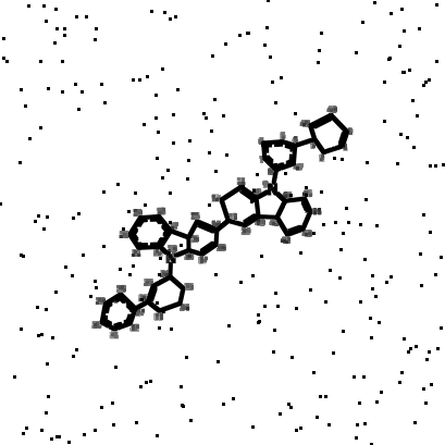 C1=CCC(c2cccc(N3C4=CCC(C5=CC6c7ccccc7N(C7C=C(c8ccccc8)CCC7)C6C=C5)C=C4C4C=CC=CC43)c2)C=C1